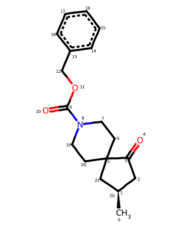 C[C@@H]1CC(=O)C2(CCN(C(=O)OCc3ccccc3)CC2)C1